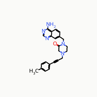 Cc1ccc(C#CCN2CCN(Cc3ccc4c(N)ncnc4c3)C(=O)C2)cc1